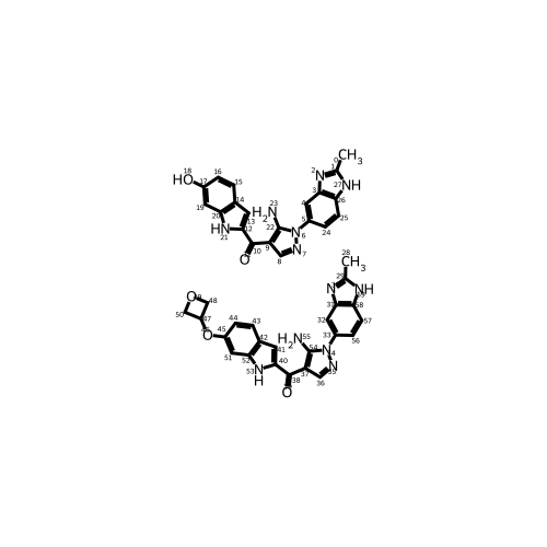 Cc1nc2cc(-n3ncc(C(=O)c4cc5ccc(O)cc5[nH]4)c3N)ccc2[nH]1.Cc1nc2cc(-n3ncc(C(=O)c4cc5ccc(OC6COC6)cc5[nH]4)c3N)ccc2[nH]1